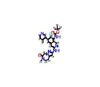 Cc1ccncc1-c1cc2cc(Nc3cc4n(n3)CC(=O)N(C)CC4)ncc2c(NC(=O)OC(C)(C)C)c1F